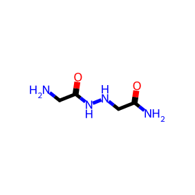 NCC(=O)NNCC(N)=O